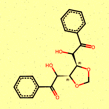 O=C(c1ccccc1)C(O)[C@H]1OCO[C@@H]1C(O)C(=O)c1ccccc1